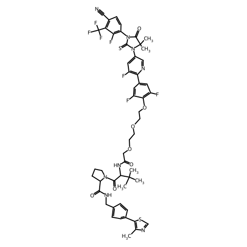 Cc1ncsc1-c1ccc(CNC(=O)C2CCCN2C(=O)C(NC(=O)COCCOCCOc2c(F)cc(-c3ncc(N4C(=S)N(c5ccc(C#N)c(C(F)(F)F)c5F)C(=O)C4(C)C)cc3F)cc2F)C(C)(C)C)cc1